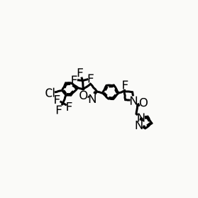 O=C(Cn1cccn1)N1CC(F)(c2ccc(C3=NOC(c4ccc(Cl)c(C(F)(F)F)c4)(C(F)(F)F)C3)cc2)C1